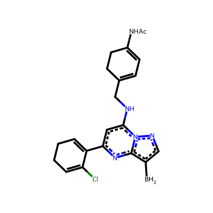 Bc1cnn2c(NCC3=CC=C(NC(C)=O)CC3)cc(C3=CCCC=C3Cl)nc12